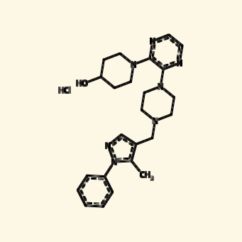 Cc1c(CN2CCN(c3nccnc3N3CCC(O)CC3)CC2)cnn1-c1ccccc1.Cl